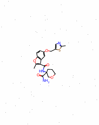 Cc1ncc(COc2ccc3oc(C)c(C(=O)NC4(C(N)=O)CCCOC4)c3c2)s1